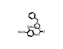 COC(=O)[C@@H]1CN(Cc2ccccc2)C[C@H]1c1cccc(OC)c1OC